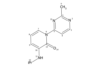 Cc1nccc(-n2cccc(NC(C)C)c2=O)n1